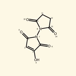 O=C1C=C(O)C(=O)N1N1C(=O)CCC1=O